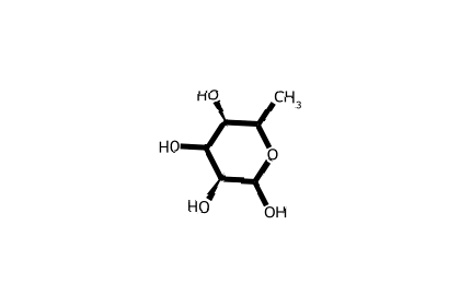 CC1OC(O)[C@@H](O)C(O)[C@H]1O